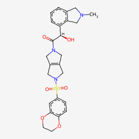 CN1Cc2cccc([C@@H](O)C(=O)N3CC4=C(C3)CN(S(=O)(=O)c3ccc5c(c3)OCCO5)C4)c2C1